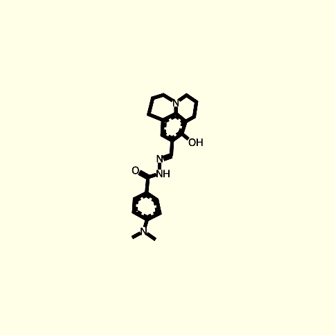 CN(C)c1ccc(C(=O)N/N=C/c2cc3c4c(c2O)CCCN4CCC3)cc1